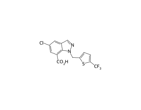 O=C(O)c1cc(Cl)cc2cnn(Cc3ccc(C(F)(F)F)s3)c12